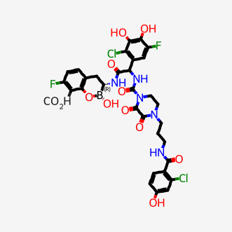 O=C(NCCCN1CCN(C(=O)NC(C(=O)N[C@H]2Cc3ccc(F)c(C(=O)O)c3OB2O)c2cc(F)c(O)c(O)c2Cl)C(=O)C1=O)c1ccc(O)cc1Cl